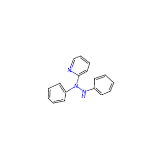 c1ccc(NN(c2ccccc2)c2ccccn2)cc1